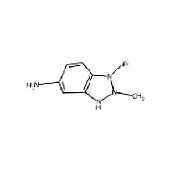 CC(C)N1c2ccc(N)cc2NN1C